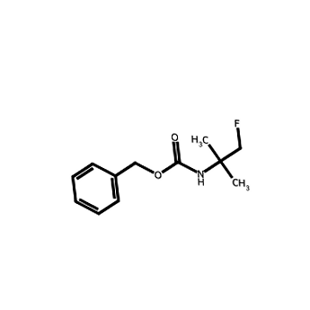 CC(C)(CF)NC(=O)OCc1ccccc1